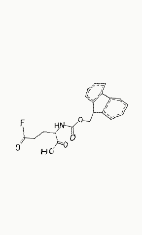 O=C(F)CCC(NC(=O)OCC1c2ccccc2-c2ccccc21)C(=O)O